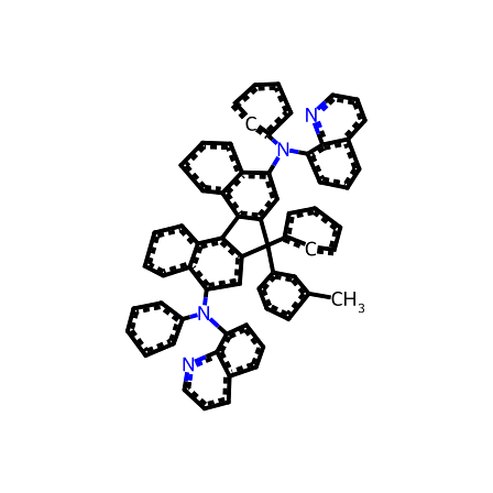 Cc1cccc(C2(c3ccccc3)c3cc(N(c4ccccc4)c4cccc5cccnc45)c4ccccc4c3-c3c2cc(N(c2ccccc2)c2cccc4cccnc24)c2ccccc32)c1